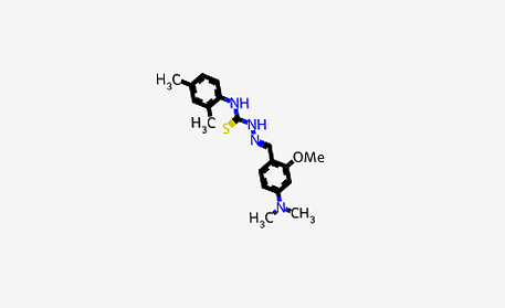 COc1cc(N(C)C)ccc1/C=N/NC(=S)Nc1ccc(C)cc1C